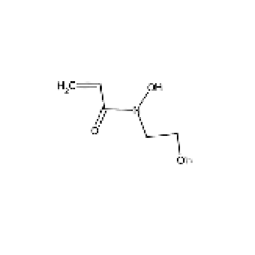 C=CC(=O)N(O)CCO